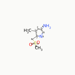 Cc1cc(N)cnc1CS(C)(=O)=O